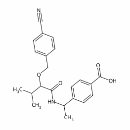 CC(NC(=O)C(OCc1ccc(C#N)cc1)C(C)C)c1ccc(C(=O)O)cc1